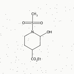 CCOC(=O)C1CCN(S(C)(=O)=O)C(O)C1